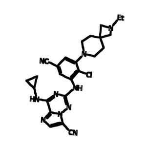 CCN1CC2(CCN(c3cc(C#N)cc(Nc4nc(NC5CC5)c5ncc(C#N)n5n4)c3Cl)CC2)C1